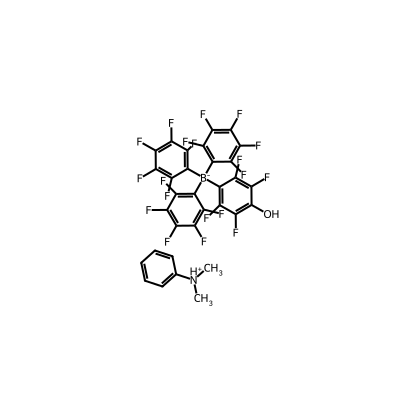 C[NH+](C)c1ccccc1.Oc1c(F)c(F)c([B-](c2c(F)c(F)c(F)c(F)c2F)(c2c(F)c(F)c(F)c(F)c2F)c2c(F)c(F)c(F)c(F)c2F)c(F)c1F